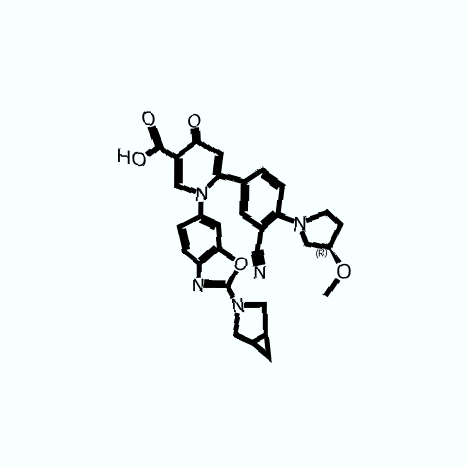 CO[C@@H]1CCN(c2ccc(-c3cc(=O)c(C(=O)O)cn3-c3ccc4nc(N5CC6CC6C5)oc4c3)cc2C#N)C1